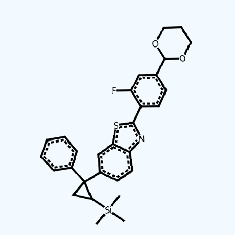 C[Si](C)(C)C1CC1(c1ccccc1)c1ccc2nc(-c3ccc(C4OCCCO4)cc3F)sc2c1